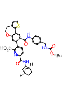 CC(C)(C)OC(=O)NCc1ccc(NC(=O)c2cc3c(cc2-c2ccc(C(=O)N[C@@H]4C[C@@H]5CC[C@H]4C5)nc2C(=O)O)OCCc2ccsc2-3)cc1